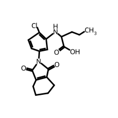 CCCC(Nc1cc(N2C(=O)C3=C(CCCC3)C2=O)ccc1Cl)C(=O)O